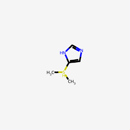 C[SH](C)c1cnc[nH]1